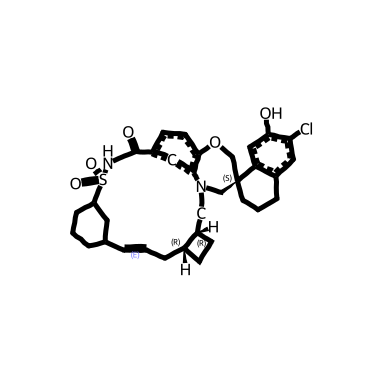 O=C1NS(=O)(=O)C2CCCC(/C=C/C[C@H]3CC[C@H]3CN3C[C@@]4(CCCc5cc(Cl)c(O)cc54)COc4ccc1cc43)C2